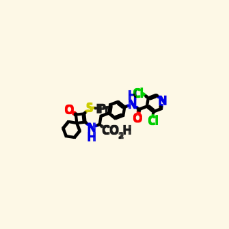 CC(C)SC1=C(N[C@@H](Cc2ccc(NC(=O)c3c(Cl)cncc3Cl)cc2)C(=O)O)C2(CCCCC2)C1=O